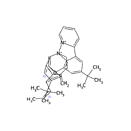 C=C1CC[N+]23c4c(cc(C(C)(C)C)cc4/C1=C/C=C\C)Oc1cc(C(C)(C)C)cc(c12)-c1cccc[n+]13